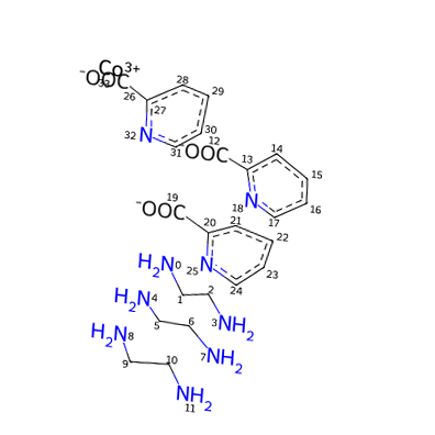 NCCN.NCCN.NCCN.O=C([O-])c1ccccn1.O=C([O-])c1ccccn1.O=C([O-])c1ccccn1.[Co+3]